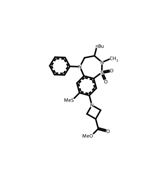 CCCCC1CN(c2ccccc2)c2cc(SC)c(N3CC(C(=O)OC)C3)cc2S(=O)(=O)N1C